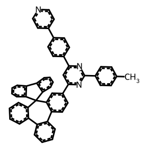 Cc1ccc(-c2nc(-c3ccc(-c4ccncc4)cc3)cc(-c3ccc4c(c3)C3(c5ccccc5-c5ccccc5-4)c4ccccc4-c4ccccc43)n2)cc1